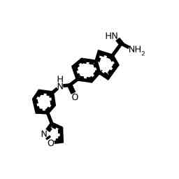 N=C(N)c1ccc2cc(C(=O)Nc3cccc(-c4ccon4)c3)ccc2c1